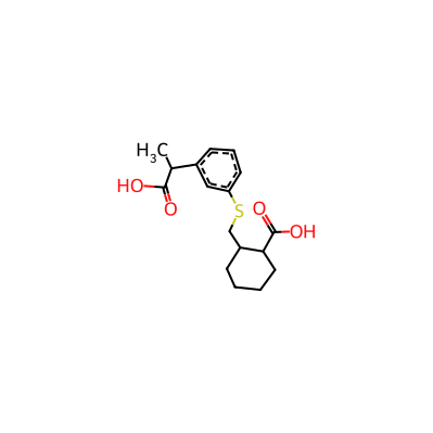 CC(C(=O)O)c1cccc(SCC2CCCCC2C(=O)O)c1